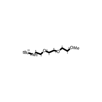 COCCOCCOCCNC(C)(C)C